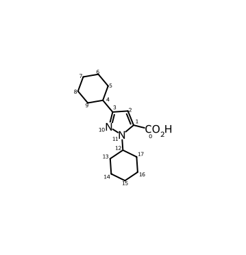 O=C(O)c1cc(C2CCCCC2)nn1C1CCCCC1